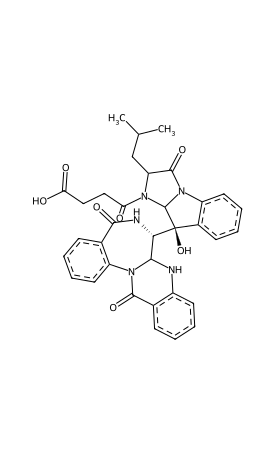 CC(C)CC1C(=O)N2c3ccccc3[C@](O)([C@H]3NC(=O)c4ccccc4N4C(=O)c5ccccc5NC34)C2N1C(=O)CCC(=O)O